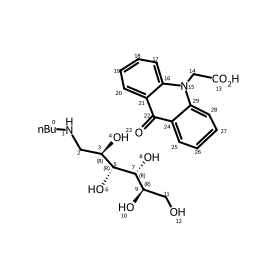 CCCCNC[C@@H](O)[C@@H](O)[C@H](O)[C@H](O)CO.O=C(O)Cn1c2ccccc2c(=O)c2ccccc21